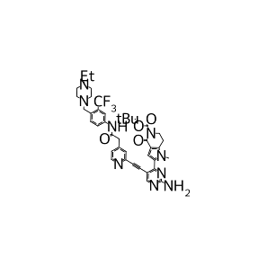 CCN1CCN(Cc2ccc(NC(=O)Cc3ccnc(C#Cc4cnc(N)nc4-c4cc5c(n4C)CCN(C(=O)OC(C)(C)C)C5=O)c3)cc2C(F)(F)F)CC1